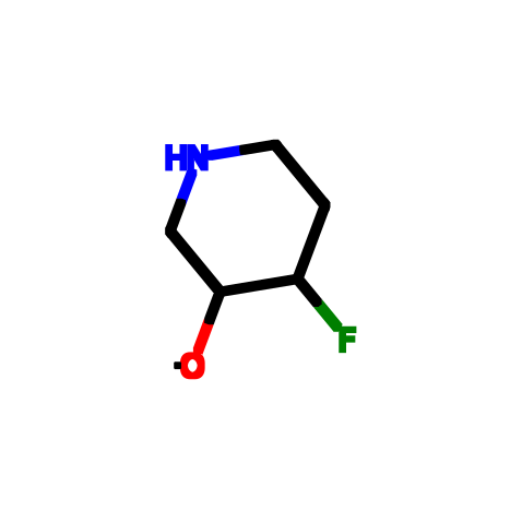 [O]C1CNCCC1F